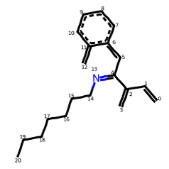 C=CC(=C)C(/C=c1/ccccc1=C)=N\CCCCCCC